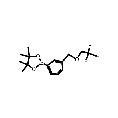 CC1(C)OB(c2cccc(COCC(F)(F)F)c2)OC1(C)C